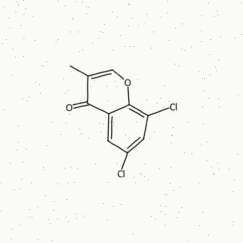 Cc1coc2c(Cl)cc(Cl)cc2c1=O